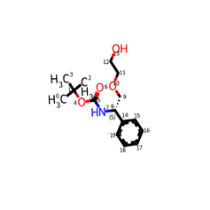 CC(C)(C)OC(=O)N[C@H](COCCO)c1ccccc1